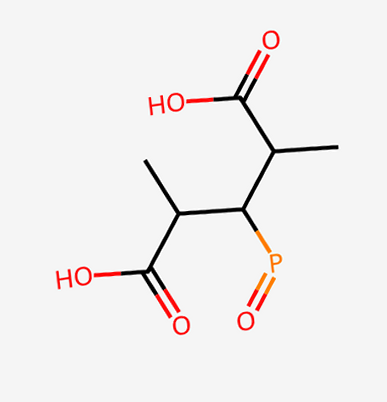 CC(C(=O)O)C(P=O)C(C)C(=O)O